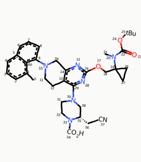 Cc1cccc2cccc(N3CCc4c(nc(OCC5(N(C)C(=O)OC(C)(C)C)CC5)nc4N4CCN(C(=O)O)[C@@H](CC#N)C4)C3)c12